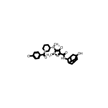 CN(c1c(Cl)c(C(=O)NC2C3CC4CC2CC(O)(C4)C3)nn1C)[C@H]1CCCN(C(=O)c2ccc(Cl)cc2)C1